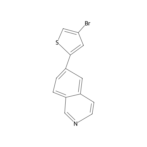 Brc1csc(-c2ccc3cnccc3c2)c1